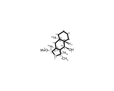 CO[C@H]1O[C@@H](C)[C@@H]2[C@H](O)[C@H]3CCCC[C@@H]3C[C@H]12